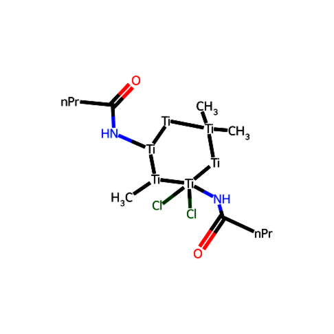 CCCC(=O)[NH][Ti]1[Ti][Ti]([CH3])([CH3])[Ti][Ti]([Cl])([Cl])([NH]C(=O)CCC)[Ti]1[CH3]